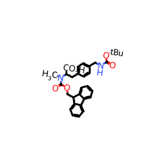 CN(C(=O)OCC1c2ccccc2-c2ccccc21)C(Cc1ccc(CNC(=O)OC(C)(C)C)cc1)C(=O)O